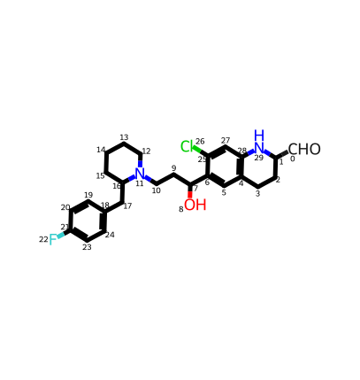 O=CC1CCc2cc(C(O)CCN3CCCCC3Cc3ccc(F)cc3)c(Cl)cc2N1